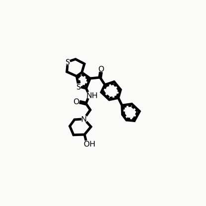 O=C(CN1CCCC(O)C1)Nc1sc2c(c1C(=O)c1ccc(-c3ccccc3)cc1)CCSC2